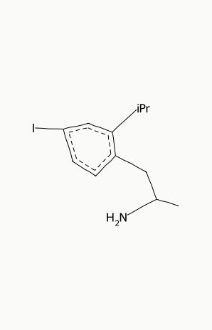 CC(N)Cc1ccc(I)cc1C(C)C